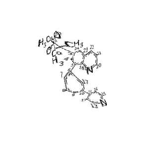 CC(C)(c1cc(-c2cccc(-c3ccncc3)c2)c2ncccc2c1)S(C)(=O)=O